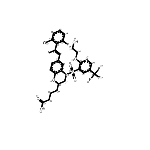 CC(=Cc1ccc2c(c1)N(S(=O)(=O)c1cc(C(F)(F)F)cnc1OCCO)CC(CCCC(=O)O)O2)c1c(F)cccc1Cl